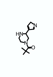 CC(C)(C)C(=O)N1CCNC(C2=CCN=C2)C1